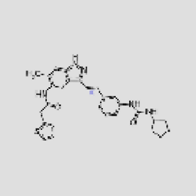 Cc1cc2[nH]nc(/C=C/c3cccc(NC(=O)NC4CCCC4)c3)c2cc1NC(=O)Cc1cccs1